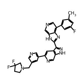 Cc1cc(F)cc(-c2cncc3[nH]c(-c4n[nH]c5cnc(-c6cncc(CN7CCC(F)(F)C7)c6)cc45)nc23)c1